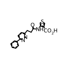 O=C(CCc1ccc(-c2ccccc2)nn1)Nc1cscc1C(=O)O